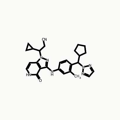 Cc1cc(Nc2nn(C(CC#N)C3CC3)c3cc[nH]c(=O)c23)ccc1C(C1CCCC1)n1nccn1